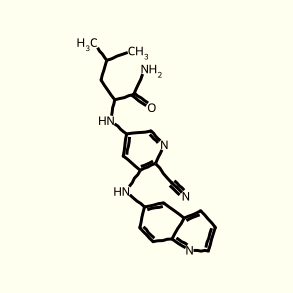 CC(C)CC(Nc1cnc(C#N)c(Nc2ccc3ncccc3c2)c1)C(N)=O